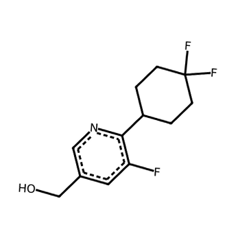 OCc1cnc(C2CCC(F)(F)CC2)c(F)c1